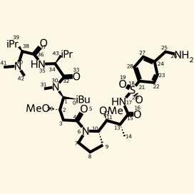 CC[C@H](C)[C@@H]([C@H](CC(=O)N1CCC[C@H]1[C@H](OC)[C@@H](C)C(=O)NS(=O)(=O)c1ccc(CN)cc1)OC)N(C)C(=O)[C@@H](NC(=O)[C@H](C(C)C)N(C)C)C(C)C